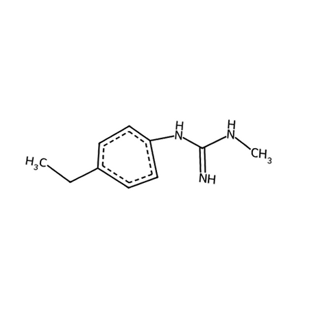 CCc1ccc(NC(=N)NC)cc1